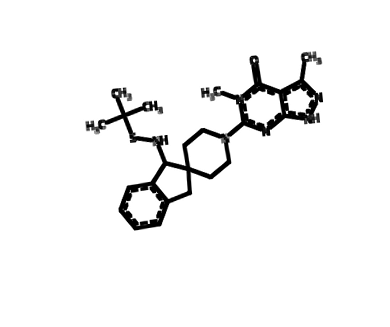 Cc1n[nH]c2nc(N3CCC4(CC3)Cc3ccccc3C4NSC(C)(C)C)n(C)c(=O)c12